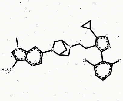 Cn1cc(C(=O)O)c2ccc(N3CC4CC3CN4CCc3c(-c4c(Cl)cccc4Cl)noc3C3CC3)cc21